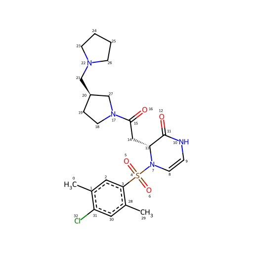 Cc1cc(S(=O)(=O)N2C=CNC(=O)[C@H]2CC(=O)N2CC[C@@H](CN3CCCC3)C2)c(C)cc1Cl